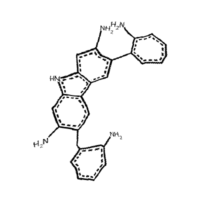 Nc1ccccc1-c1cc2c(cc1N)[nH]c1cc(N)c(-c3ccccc3N)cc12